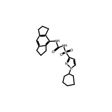 O=C(Nc1c2c(cc3c1CCC3)CCC2)NS(=O)(=O)c1ccn(C2CCCCC2)n1